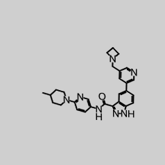 CC1CCN(c2ccc(NC(=O)c3n[nH]c4ccc(-c5cncc(CN6CCC6)c5)cc34)cn2)CC1